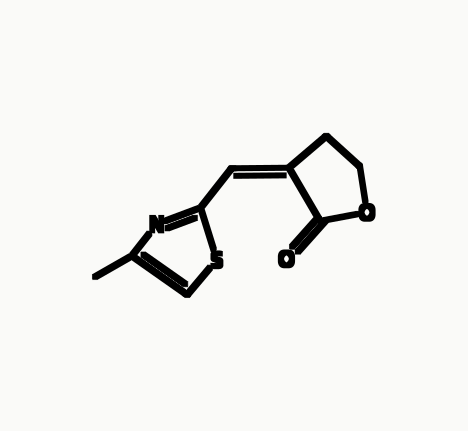 Cc1csc(C=C2CCOC2=O)n1